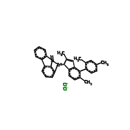 CC1=Cc2c(ccc(C)c2-c2ccc(C)cc2C)[CH]1[Zr+2]1[c]2cccc3c2[SiH]1c1ccccc1-3.[Cl-].[Cl-]